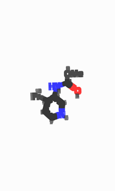 COC(=O)Nc1cnccc1C(C)C